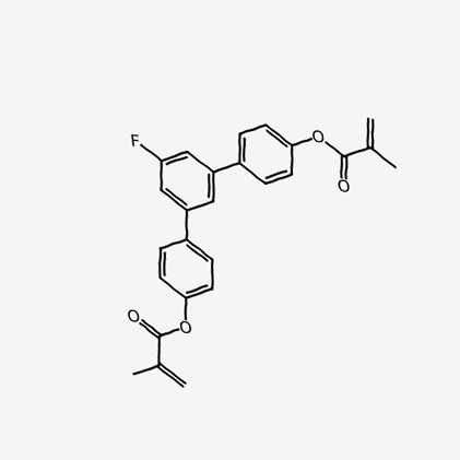 C=C(C)C(=O)Oc1ccc(-c2cc(F)cc(-c3ccc(OC(=O)C(=C)C)cc3)c2)cc1